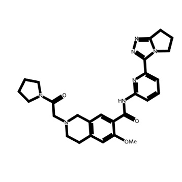 COc1cc2c(cc1C(=O)Nc1cccc(-c3nnc4n3CCC4)n1)CN(CC(=O)N1CCCC1)CC2